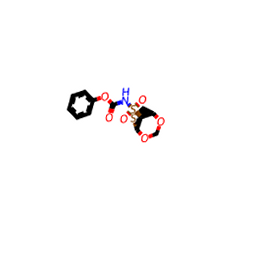 O=C(NS(=O)(=O)c1c2csc1OCO2)Oc1ccccc1